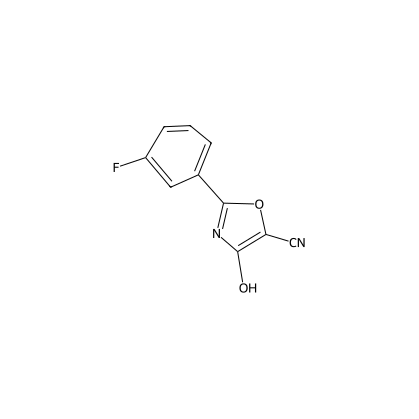 N#Cc1oc(-c2cccc(F)c2)nc1O